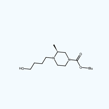 C[C@H]1CN(C(=O)OC(C)(C)C)CCN1CCCCO